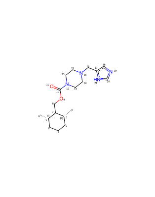 C[C@@H]1CCC[C@H](C)C1COC(=O)N1CCN(Cc2cnc[nH]2)CC1